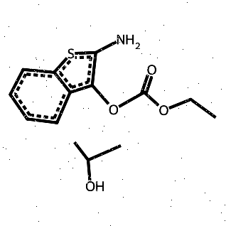 CC(C)O.CCOC(=O)Oc1c(N)sc2ccccc12